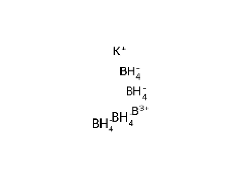 [B+3].[BH4-].[BH4-].[BH4-].[BH4-].[K+]